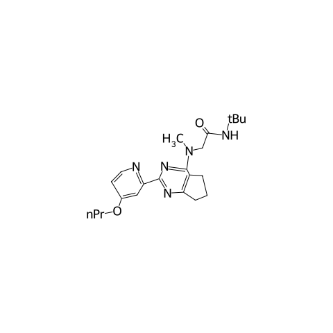 CCCOc1ccnc(-c2nc3c(c(N(C)CC(=O)NC(C)(C)C)n2)CCC3)c1